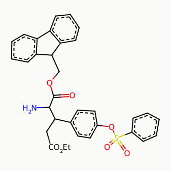 CCOC(=O)CC(c1ccc(OS(=O)(=O)c2ccccc2)cc1)C(N)C(=O)OCC1c2ccccc2-c2ccccc21